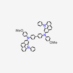 COc1ccc(N(c2ccc(-c3ccc(N(c4ccc(OC)cc4)c4cc5ccc6cccc7c6c5c(c4)n7-c4ccccc4)cc3)cc2)c2cc3ccc4cccc5c4c3c(c2)n5-c2ccccc2)cc1